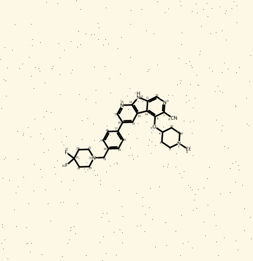 CCN1CCC(Oc2c(C#N)ncc3[nH]c4ncc(-c5ccc(CN6CCC(F)(F)CC6)cc5)cc4c23)CC1